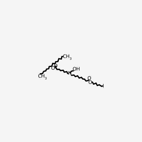 CCCCCCCCC(CCCCCCCC)OC(=O)CCCCCCCN(CCO)CCCCCCCCCC(=O)OCCCCCCI